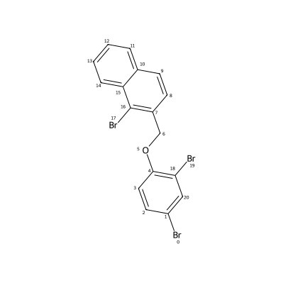 Brc1ccc(OCc2ccc3ccccc3c2Br)c(Br)c1